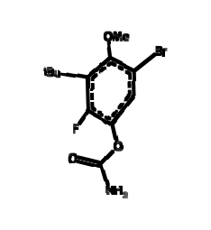 COc1c(Br)cc(OC(N)=O)c(F)c1C(C)(C)C